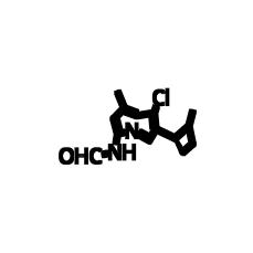 CC1=C\C(Cl)=C([C@@H]2CCC2C)/C=N/C(NC=O)=C\1